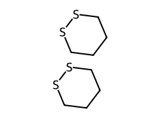 C1CCSSC1.C1CCSSC1